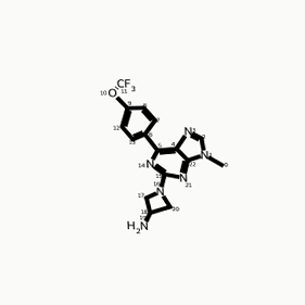 Cn1cnc2c(-c3ccc(OC(F)(F)F)cc3)nc(N3CC(N)C3)nc21